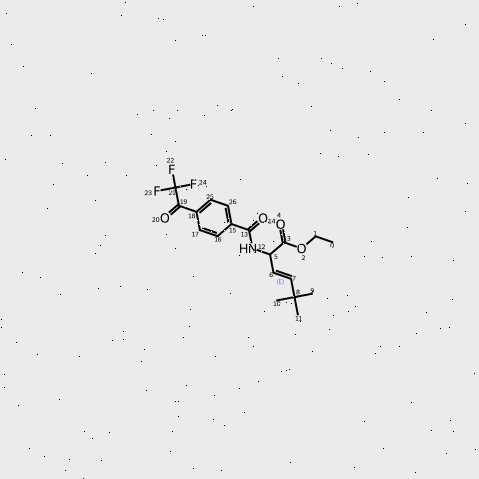 CCOC(=O)C(/C=C/C(C)(C)C)NC(=O)c1ccc(C(=O)C(F)(F)F)cc1